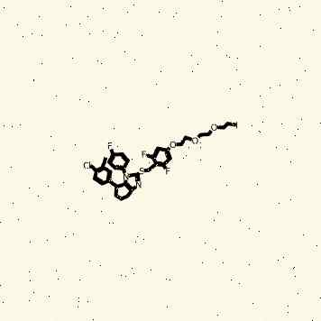 Cc1cc(C2CCCc3nc(SCc4c(F)cc(OCCOCCOCCI)cc4F)n(-c4ccc(F)cc4)c32)ccc1Cl